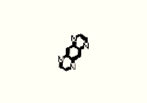 [c]1cnc2cc3nccnc3cc2n1